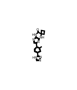 Cc1cc(-c2nnc[nH]2)ccc1-c1cnc2c(n1)NC1(CCC1)C(=O)N2